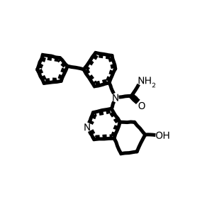 NC(=O)N(c1cccc(-c2ccccc2)c1)c1cncc2c1CC(O)CC2